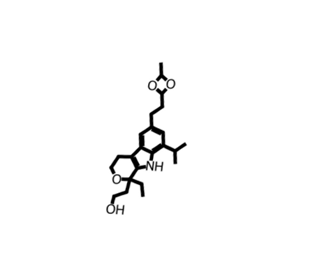 CCC1(CCO)OCCc2c1[nH]c1c(C(C)C)cc(CCC3OC(C)O3)cc21